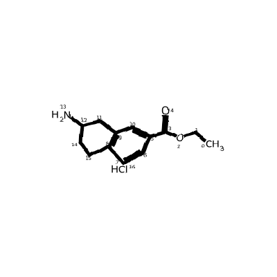 CCOC(=O)c1ccc2c(c1)CC(N)CC2.Cl